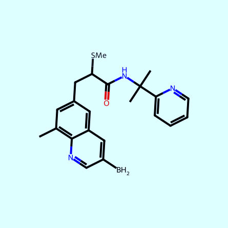 Bc1cnc2c(C)cc(CC(SC)C(=O)NC(C)(C)c3ccccn3)cc2c1